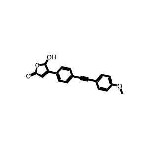 COc1ccc(C#Cc2ccc(C3=CC(=O)OC3O)cc2)cc1